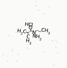 C=C(C)C(=O)N(N)CCC.Cl